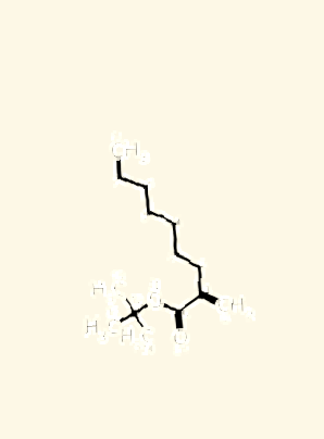 C=C(CCCCCCC)C(=O)OC(C)(C)C